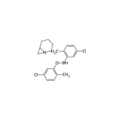 C1CCN2CC2C1.Cc1ccc(Cl)cc1BOc1cc(Cl)ccc1C